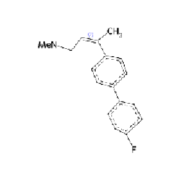 CNC/C=C(/C)c1ccc(-c2ccc(F)cc2)cc1